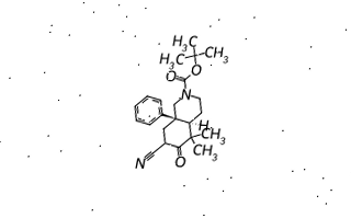 CC(C)(C)OC(=O)N1CC[C@H]2C(C)(C)C(=O)C(C#N)C[C@]2(c2ccccc2)C1